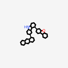 c1ccc2cc3c(-c4ccc5[nH]c6cccc(-c7ccc8c(c7)oc7ccccc78)c6c5c4)cccc3cc2c1